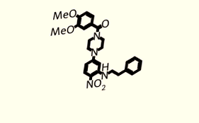 COc1ccc(C(=O)N2CCN(c3ccc([N+](=O)[O-])c(NCCc4ccccc4)c3)CC2)cc1OC